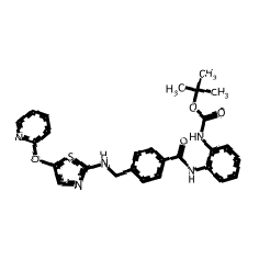 CC(C)(C)OC(=O)Nc1ccccc1NC(=O)c1ccc(CNc2ncc(Oc3ccccn3)s2)cc1